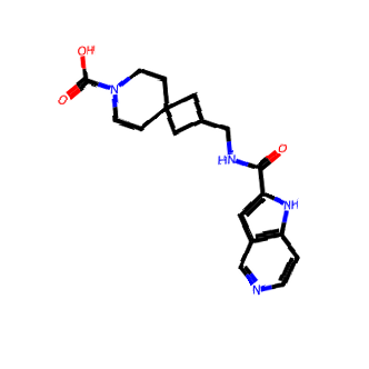 O=C(NCC1CC2(CCN(C(=O)O)CC2)C1)c1cc2cnccc2[nH]1